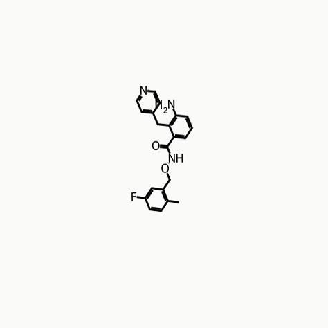 Cc1ccc(F)cc1CONC(=O)c1cccc(N)c1Cc1ccncc1